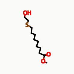 COC(=O)CCCCCCCCSCCO